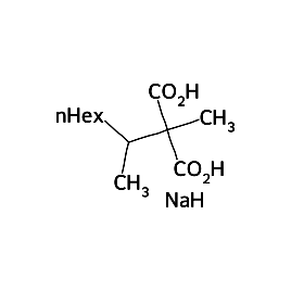 CCCCCCC(C)C(C)(C(=O)O)C(=O)O.[NaH]